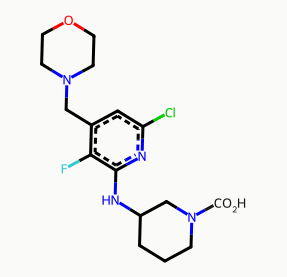 O=C(O)N1CCCC(Nc2nc(Cl)cc(CN3CCOCC3)c2F)C1